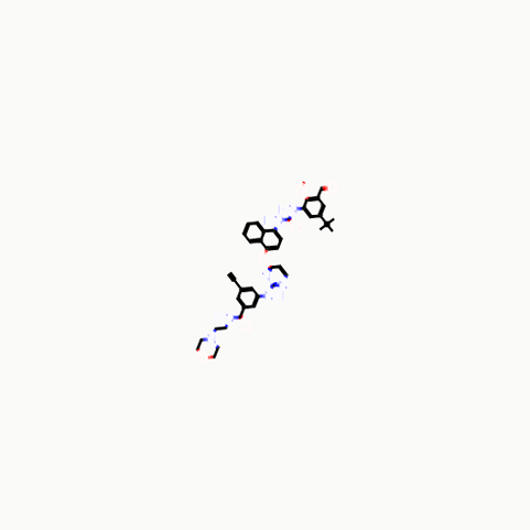 C#Cc1cc(Nc2nccc(Oc3ccc(NC(=O)Nc4cc(C(C)(C)C)cc(C=O)c4OC)c4ccccc34)n2)cc(C(=O)NCCN2CCOCC2)c1